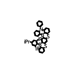 CC(C)c1cc(C(C)C)c(B2c3ccccc3Sc3cc4c(cc32)B2c3ccccc3N(c3ccccc3)c3cccc(c32)S4)c(C(C)C)c1